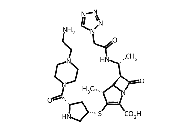 C[C@H]1C(S[C@@H]2CN[C@H](C(=O)N3CCN(CCN)CC3)C2)=C(C(=O)O)N2C(=O)[C@H]([C@@H](C)NC(=O)Cn3cnnn3)C12